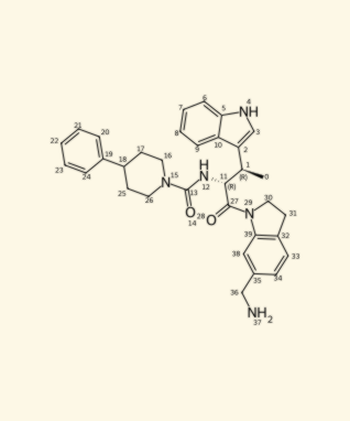 C[C@H](c1c[nH]c2ccccc12)[C@@H](NC(=O)N1CCC(c2ccccc2)CC1)C(=O)N1CCc2ccc(CN)cc21